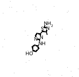 Cc1nc(N)sc1-c1ccnc(Nc2ccc(O)cc2)n1